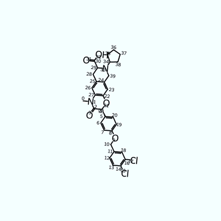 CN1C(=O)[C@H](c2ccc(OCc3ccc(Cl)c(Cl)c3)cc2)Oc2cc3c(cc21)CC(C(=O)O)N(C1CCCC1)C3